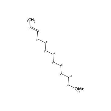 CC=CCCCCCCCCCOC